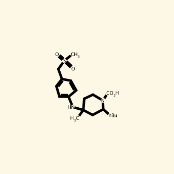 CCCCC1CC(C)(Nc2ccc(CS(C)(=O)=O)cc2)CCN1C(=O)O